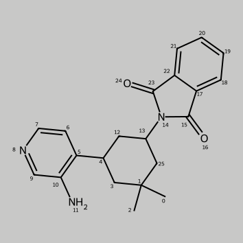 CC1(C)CC(c2ccncc2N)CC(N2C(=O)c3ccccc3C2=O)C1